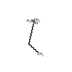 CCCCCCCC/C=C\CCCCCCCCCCCCNN(C)C